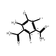 NC(=O)c1c(N)c(Cl)c(F)c(C(N)=O)c1F